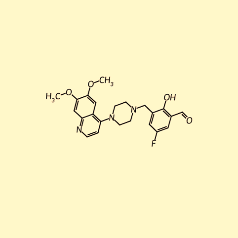 COc1cc2nccc(N3CCN(Cc4cc(F)cc(C=O)c4O)CC3)c2cc1OC